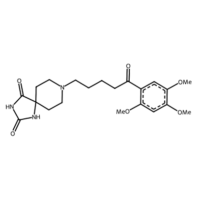 COc1cc(OC)c(C(=O)CCCCN2CCC3(CC2)NC(=O)NC3=O)cc1OC